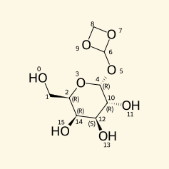 OC[C@H]1O[C@H](OC2OCO2)[C@H](O)[C@@H](O)[C@H]1O